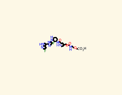 O=C(O)COCCNC(=O)OCc1ccnc(C(=O)N[C@@H]2CCC[C@H](Nc3nc(-c4c[nH]c5ncc(F)cc45)ncc3F)C2)c1